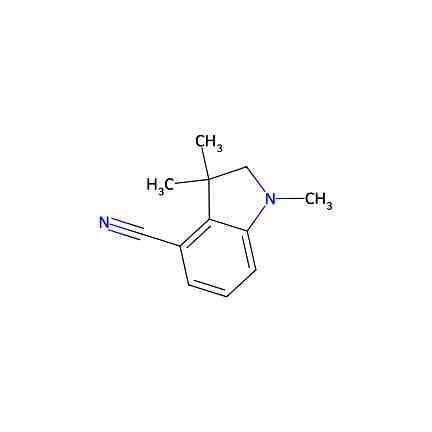 CN1CC(C)(C)c2c(C#N)cccc21